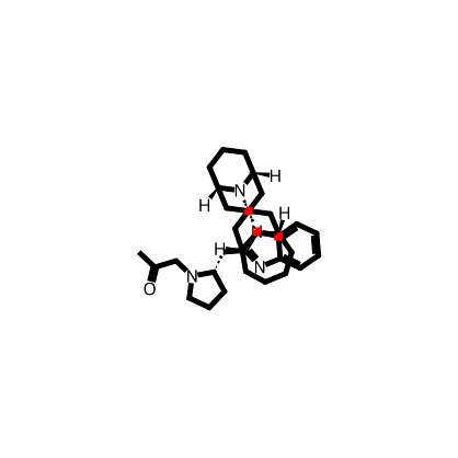 CC(=O)CN1CCC[C@H]1Cc1nc2ccccc2n1[C@H]1C[C@H]2CCC[C@@H](C1)N2[C@@H]1C[C@@H]2CCCC[C@@H](C2)C1